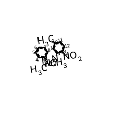 CN(C)c1ccccc1.Cc1ccc([N+](=O)[O-])c(N)c1